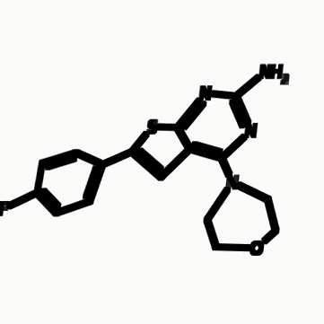 Nc1nc(N2CCOCC2)c2cc(-c3ccc(F)cc3)sc2n1